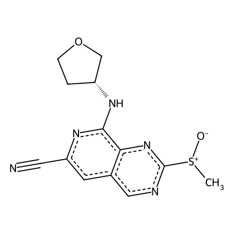 C[S+]([O-])c1ncc2cc(C#N)nc(N[C@@H]3CCOC3)c2n1